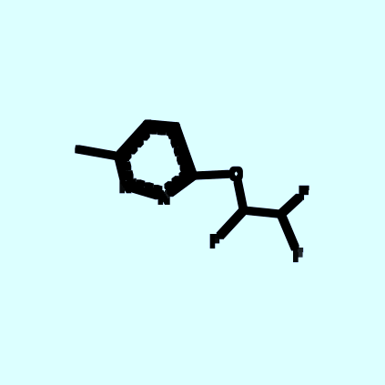 Cc1ccc(OC(F)C(F)F)nn1